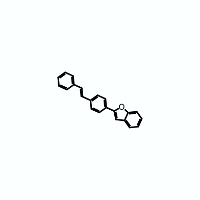 C(=Cc1ccc(-c2cc3ccccc3o2)cc1)c1ccccc1